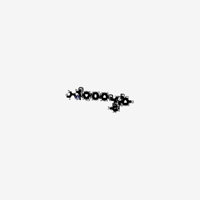 CCC(C)C/C=N\N(C(C)=O)c1ccc(N2CCN(c3ccc(OCC4COC(Cn5ccc(C)n5)(c5ccc(C)cc5F)O4)cc3)CC2)cc1